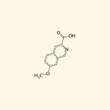 COc1ccc2cc(C(=O)O)ncc2c1